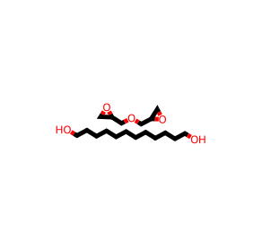 C(OCC1CO1)C1CO1.OCCCCCCCCCCCCO